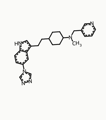 CN(Cc1cccnc1)C1CCC(CCc2c[nH]c3ccc(-n4cnnc4)cc23)CC1